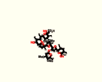 CO[C@@H]1[C@@H](OC)[C@H](C)[C@@](O)(CC(=O)O)O[C@H]1[C@H](C)[C@H]1O[C@@]2(CC[C@@](C)([C@H]3CC[C@@](C)([C@@H]4O[C@@H]([C@H]5O[C@](C)(O)[C@H](C)C[C@@H]5C)C[C@@H]4O[C@@H]4C[C@H](OC)[C@@H](OC)[C@H](C)O4)O3)O2)C[C@H](O)[C@H]1C